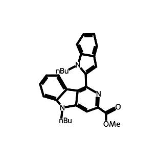 CCCCn1c(-c2nc(C(=O)OC)cc3c2c2ccccc2n3CCCC)cc2ccccc21